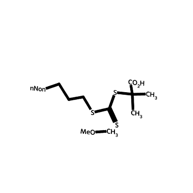 CCCCCCCCCCCCSC(=S)SC(C)(C)C(=O)O.COC